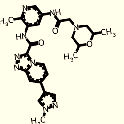 Cc1ncc(NC(=O)CN2CC(C)OC(C)C2)cc1NC(=O)c1nnc2cc(-c3cnn(C)c3)ccn12